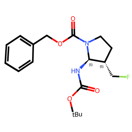 CC(C)(C)OC(=O)N[C@@H]1[C@@H](CF)CCN1C(=O)OCc1ccccc1